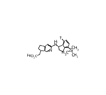 C[Si](C)(C)c1ccc(F)c2c1CC[C@H]2Nc1cc2c(cn1)C(CC(=O)O)CC2